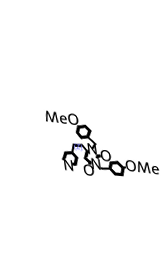 COc1ccc(Cn2c(/C=C\c3ccncc3)cc(=O)n(Cc3ccc(OC)cc3)c2=O)cc1